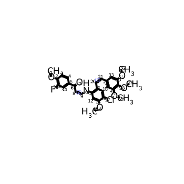 COc1ccc(C(=O)/C=C\Nc2cc(OC)c(Cl)cc2/C=C\c2cc(OC)c(OC)c(OC)c2)cc1F